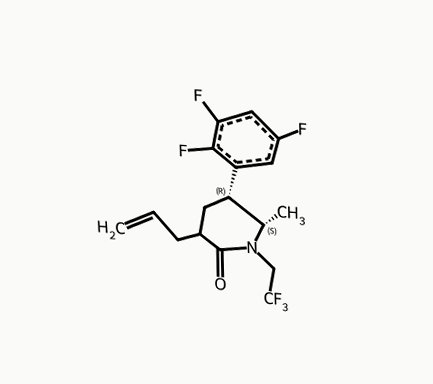 C=CCC1C[C@H](c2cc(F)cc(F)c2F)[C@H](C)N(CC(F)(F)F)C1=O